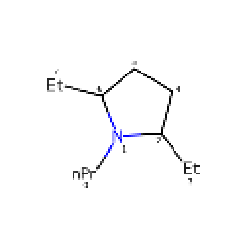 CCCN1C(CC)CCC1CC